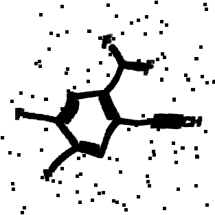 C#Cc1cc(F)c(F)cc1C(F)F